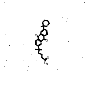 COC(=O)CCCC(C)(C)c1ccc2c(c1)C(=O)c1ccc(C3(C)CCCCC3)cc1C2=O